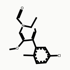 C/C=C(\C(=C/N(C=O)CC)OC)c1cc(Cl)ccc1C